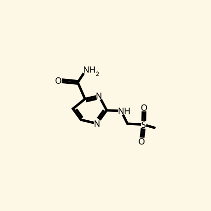 CS(=O)(=O)CNc1nccc(C(N)=O)n1